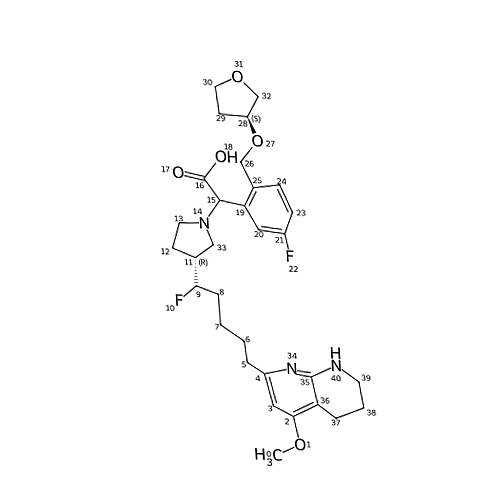 COc1cc(CCCCC(F)[C@@H]2CCN(C(C(=O)O)c3cc(F)ccc3CO[C@H]3CCOC3)C2)nc2c1CCCN2